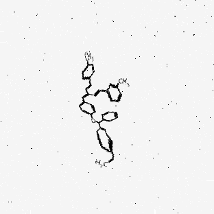 C=Cc1ccc(C(Oc2ccc(C=C(C=Cc3ccc(C)cc3)C=Cc3cccc(C)c3)cc2)c2ccccc2)cc1